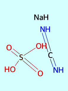 N=C=N.O=S(=O)(O)O.[NaH]